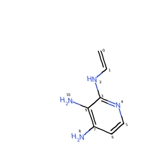 C=CNc1nccc(N)c1N